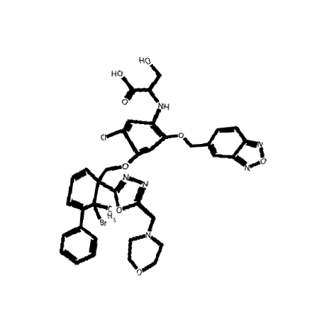 CC1(Br)C(c2ccccc2)=CC=CC1(COc1cc(OCc2ccc3nonc3c2)c(NC(CO)C(=O)O)cc1Cl)c1nnc(CN2CCOCC2)o1